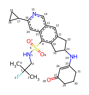 CC(C)(F)CNS(=O)(=O)c1c2c(cc3cnc(C4CC4)cc13)CC(NC1=CC(=O)CCC1)C2